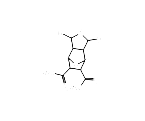 CCC1OC(CC)C2C3OC(C(C(=O)OC)C3C(=O)OC)C12